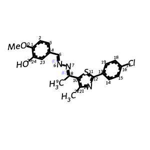 COc1ccc(/C=N/N=C(\C)c2sc(-c3ccc(Cl)cc3)nc2C)cc1O